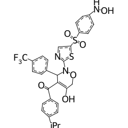 CC(C)c1ccc(C(=O)C2=C(O)CON(c3ncc(S(=O)(=O)c4ccc(NO)cc4)s3)C2c2ccc(C(F)(F)F)cc2)cc1